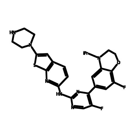 CC(C)N1CCOc2c(F)cc(-c3nc(Nc4ccc5cc(N6CCNCC6)sc5n4)ncc3F)cc21